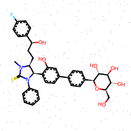 CN1C(=S)N(c2ccccc2)[C@H](c2ccc(-c3ccc([C@@H]4O[C@H](CO)[C@@H](O)[C@H](O)[C@H]4O)cc3)cc2O)[C@@H]1CC[C@H](O)c1ccc(F)cc1